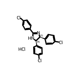 Cl.Clc1ccc(C2=N[C@@H](c3ccc(Cl)cc3)[C@@H](c3ccc(Cl)cc3)N2)cc1